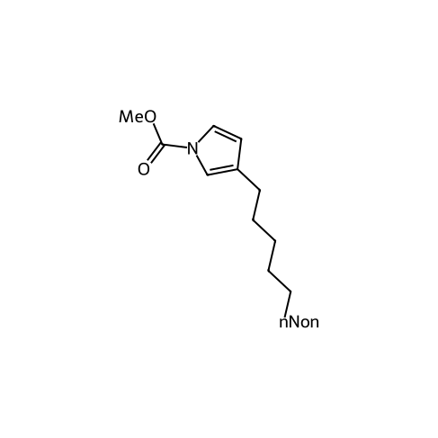 CCCCCCCCCCCCCCc1ccn(C(=O)OC)c1